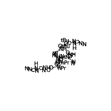 C#CCNC(=O)[C@@H](CCNC(=O)CN(Cc1cn(CCCNC(=O)CCCOc2c(C(C)(C)C)cc(-c3nc4ccc(N5CCN(C)CC5)cc4[nH]3)cc2C(C)(C)C)nn1)C(=O)CN(CCC)C(=O)CN(CCC)C(=O)CCCOc1cccc(-c2nc3cc(-c4nc5ccc(N6CCN(C)CC6)cc5[nH]4)ccc3[nH]2)c1)NC(=O)CCC1(C)N=N1